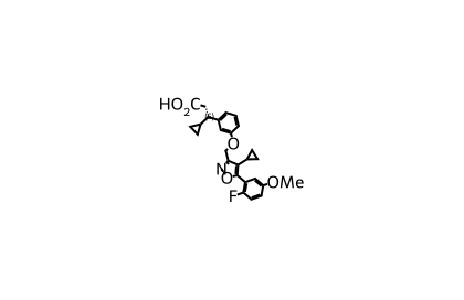 COc1ccc(F)c(-c2onc(COc3cccc([C@@H](CC(=O)O)C4CC4)c3)c2C2CC2)c1